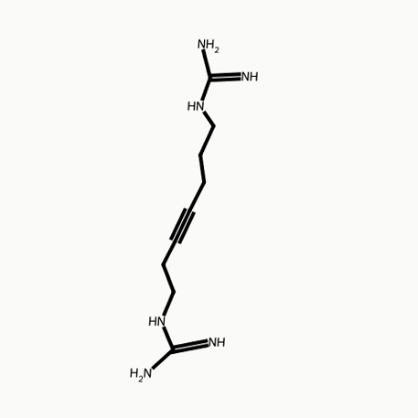 N=C(N)NCCC#CCCCNC(=N)N